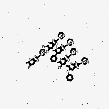 CCc1nc2nc(N3CCN4CCC3CC4)oc2cc1Cl.Cc1nc2nc(N3CCN4CCC3CC4)oc2cc1-c1ccccc1.Cc1nc2nc(N3CCN4CCC3CC4)oc2cc1Cl.Cc1nc2nc(N3CCN4CCC3CC4)oc2cc1F.Cc1nc2nc(N3CCN4CCC3CC4)oc2cc1Oc1ccccc1